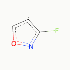 Fc1[c]con1